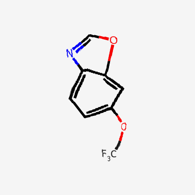 FC(F)(F)Oc1ccc2ncoc2c1